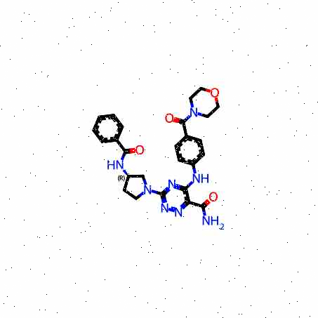 NC(=O)c1nnc(N2CC[C@@H](NC(=O)c3ccccc3)C2)nc1Nc1ccc(C(=O)N2CCOCC2)cc1